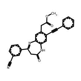 COC(=O)Cc1cc2c(cc1C#Cc1ccccc1)NC(=O)CC(c1cccc(C#N)c1)=N2